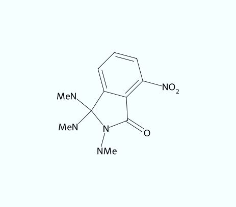 CNN1C(=O)c2c([N+](=O)[O-])cccc2C1(NC)NC